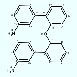 Nc1cccc(-c2ccccc2Oc2ccccc2-c2cccc(N)c2)c1